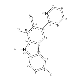 Cc1ccc2c(c1)c1cc(-c3ccccn3)c(=O)n(C)c1n2C